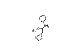 CC(C)(C)OC(Cn1ccnc1)[SiH2]c1ccccc1